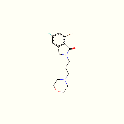 O=C1c2c(Br)cc(F)cc2CN1CCCN1CCOCC1